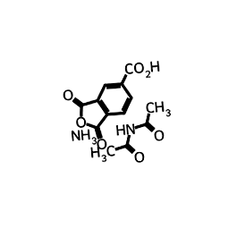 CC(=O)NC(C)=O.N.O=C(O)c1ccc2c(c1)C(=O)OC2=O